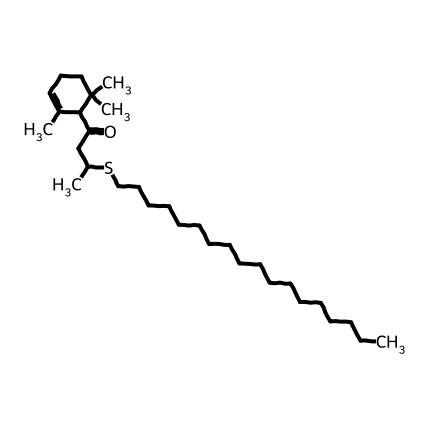 CCCCCCCCCCCCCCCCCCSC(C)CC(=O)C1C(C)=CCCC1(C)C